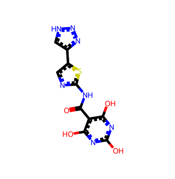 O=C(Nc1ncc(-c2c[nH]nn2)s1)c1c(O)nc(O)nc1O